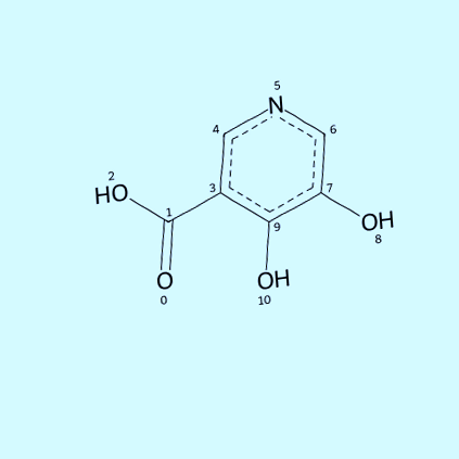 O=C(O)c1cncc(O)c1O